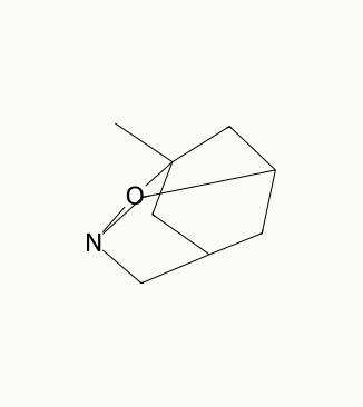 CC12CC3CC(CN(C3)O1)C2